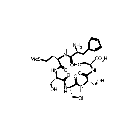 CSCC[C@H](NC(=O)[C@@H](N)Cc1ccccc1)C(=O)N[C@@H](CO)C(=O)N[C@@H](CO)C(=O)N[C@@H](CO)C(=O)N[C@@H](CO)C(=O)O